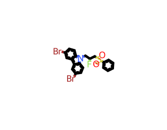 O=S(=O)(CC(F)Cn1c2ccc(Br)cc2c2cc(Br)ccc21)c1ccccc1